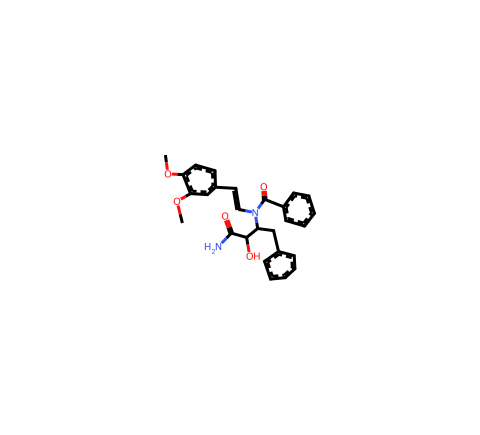 COc1ccc(C=CN(C(=O)c2ccccc2)C(Cc2ccccc2)C(O)C(N)=O)cc1OC